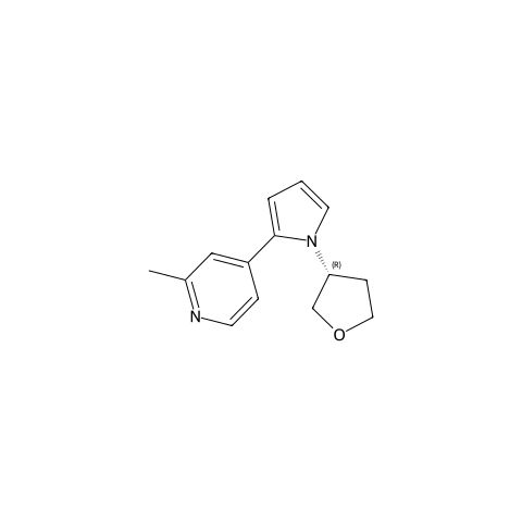 Cc1cc(-c2cccn2[C@@H]2CCOC2)ccn1